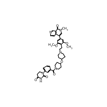 COc1cc(-c2cn(C)c(=O)c3cnccc23)cc(OC)c1CCN1CCC(OC2CCN(C(=O)c3cccc(N4CCC(=O)NC4=O)c3)CC2)CC1